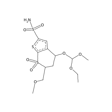 CCOC(OC)OC1CC(COC)S(=O)(=O)c2sc(S(N)(=O)=O)cc21